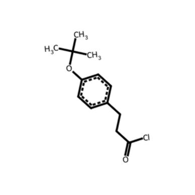 CC(C)(C)Oc1ccc(CCC(=O)Cl)cc1